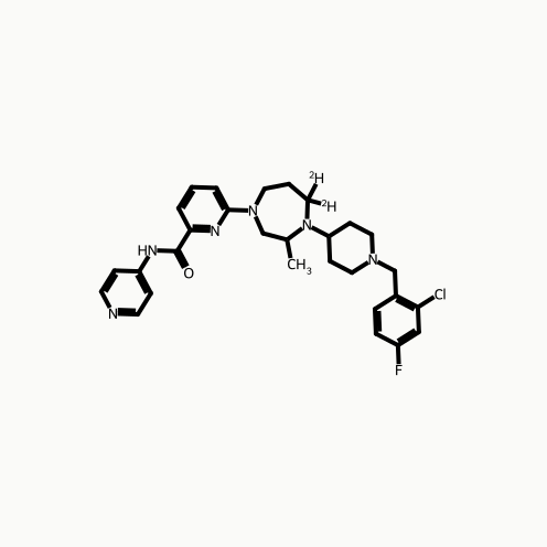 [2H]C1([2H])CCN(c2cccc(C(=O)Nc3ccncc3)n2)CC(C)N1C1CCN(Cc2ccc(F)cc2Cl)CC1